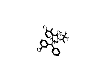 Cc1c2n(ccc1=O)N(C(c1ccccc1)c1cccc(Cl)c1)CN(C(C)C(F)(F)F)C2=O